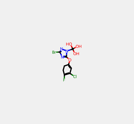 OC(O)(O)n1nc(Br)nc1OC1=CC(Cl)=C(F)CC1